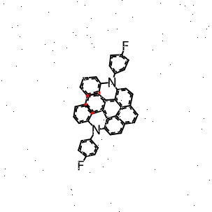 Fc1ccc(N(c2ccccc2)c2ccc3ccc4ccc(N(c5ccccc5)c5ccc(F)cc5)c5c6ccccc6c2c3c45)cc1